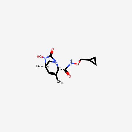 CC1=C[C@@H]2CN(C(=O)N2O)[C@@H]1C(=O)NOCC1CC1